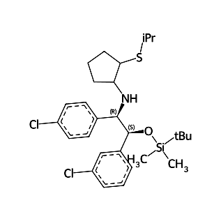 CC(C)SC1CCCC1N[C@H](c1ccc(Cl)cc1)[C@@H](O[Si](C)(C)C(C)(C)C)c1cccc(Cl)c1